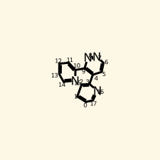 c1ccc(-c2ccnnc2-c2ccccn2)nc1